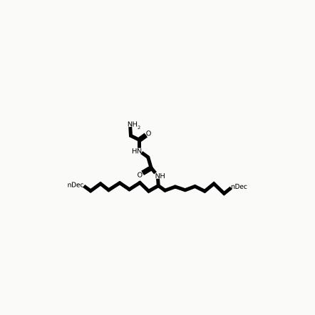 CCCCCCCCCCCCCCCCCC(CCCCCCCCCCCCCCCCC)NC(=O)CNC(=O)CN